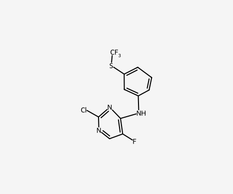 Fc1cnc(Cl)nc1Nc1cccc(SC(F)(F)F)c1